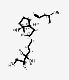 CCCC[C@@H](C)CC=C[C@H]1CC[C@H]2O[C@@H](CCCC(O)(O)C(=O)CO)C[C@H]12